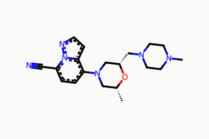 C[C@@H]1CN(c2ccc(C#N)n3nccc23)C[C@H](CN2CCN(C)CC2)O1